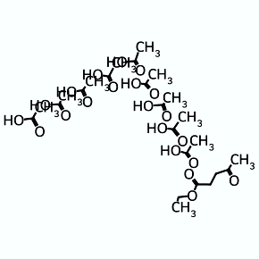 CC(=O)O.CC(=O)O.CC(=O)O.CC(=O)O.CC(=O)O.CC(=O)O.CC(=O)O.CC(=O)O.CC(=O)O.CCOC(=O)CCC(C)=O